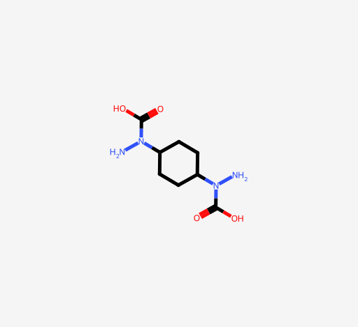 NN(C(=O)O)C1CCC(N(N)C(=O)O)CC1